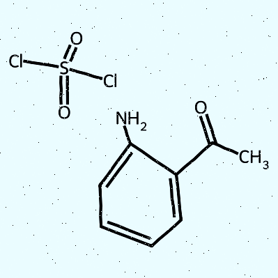 CC(=O)c1ccccc1N.O=S(=O)(Cl)Cl